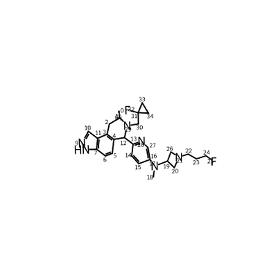 C[C@@H]1Cc2c(ccc3[nH]ncc23)C(c2ccc(N(C)C3CN(CCCF)C3)cn2)N1CC1(F)CC1